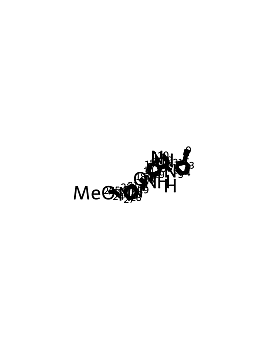 C#Cc1cccc(Nc2ncnc3ccc(NC(=O)CN4CCN(CCOC)CC4)cc23)c1